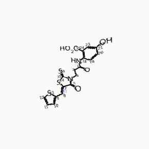 O=C(CCN1C(=O)/C(=C/c2cccs2)SC1=S)Nc1ccc(O)cc1C(=O)O